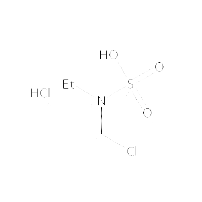 CCN(CCl)S(=O)(=O)O.Cl